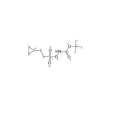 CC(C)(C)OC(=O)NOS(=O)(=O)CCC1CC1